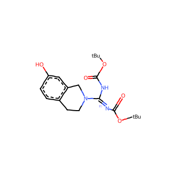 CC(C)(C)OC(=O)/N=C(\NC(=O)OC(C)(C)C)N1CCc2ccc(O)cc2C1